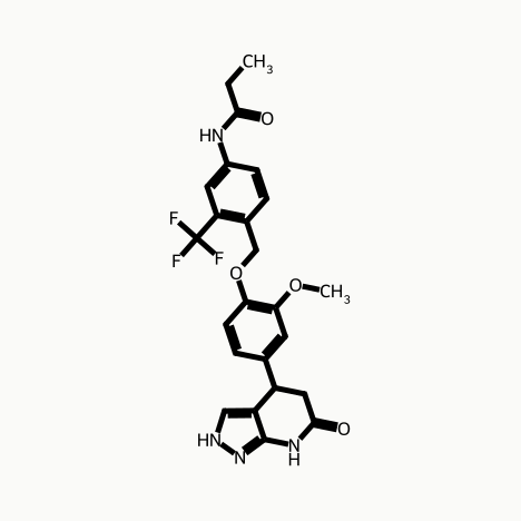 CCC(=O)Nc1ccc(COc2ccc(C3CC(=O)Nc4n[nH]cc43)cc2OC)c(C(F)(F)F)c1